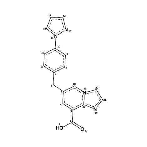 O=C(O)c1cc(Cc2ccc(-n3cccn3)cc2)cn2ccnc12